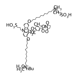 CCCC[N+](C)(C)CCCCCCCCCCCCOc1ccc2c(c1)c(C(=O)Oc1c(C)cc(C(=O)ON3C(=O)CCC3=O)cc1C)c1cc(OCCCCCCCCCCCC[N+](C)(C)CCCS(=O)(=O)O)ccc1[n+]2CCCS(=O)(=O)O